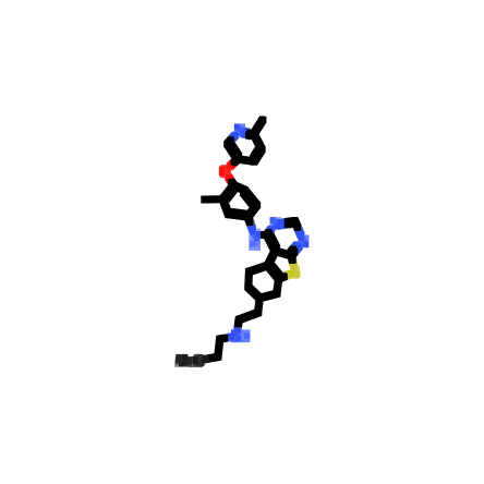 COCCNCCC1CCc2c(sc3ncnc(Nc4ccc(Oc5ccc(C)nc5)c(C)c4)c23)C1